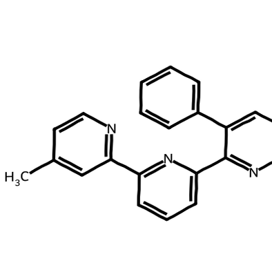 Cc1ccnc(-c2cccc(-c3ncccc3-c3ccccc3)n2)c1